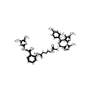 Cc1nc(NC(=O)c2ccccc2NC(=O)CCCNC(=O)C[C@@H]2N=C(c3ccc(Cl)cc3)c3c(sc(C)c3C)-n3c(C)nnc32)sc1C